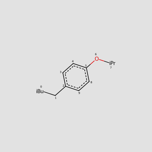 CCC(C)Cc1ccc(OC(C)C)cc1